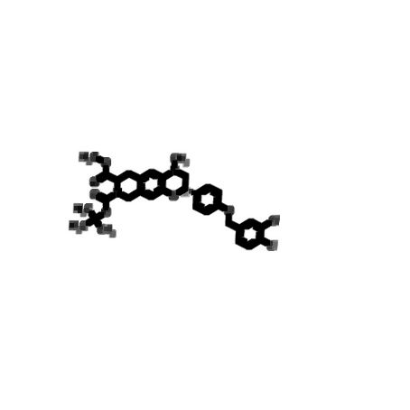 COC(=O)C1Cc2cc3c(cc2CN1C(=O)OC(C)(C)C)O[C@@H](c1ccc(OCc2ccc(Cl)c(Cl)c2)cc1)CN3C